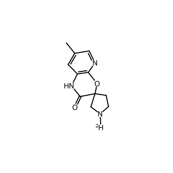 [2H]N1CCC2(C1)Oc1ncc(C)cc1NC2=O